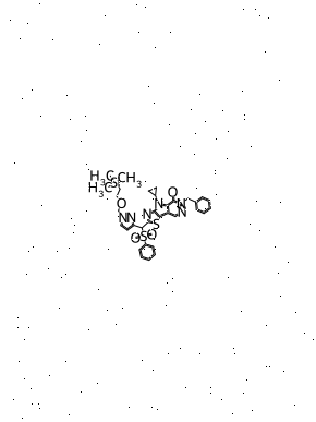 C[Si](C)(C)CCOCn1ccc(C(c2nc3c(s2)c2cnn(Cc4ccccc4)c(=O)c2n3C2CC2)S(=O)(=O)c2ccccc2)n1